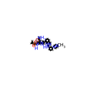 CN1CCN(c2cccc(Nc3ncc4cccc(-c5cnn(C6(CC(N)=O)CN(NS(=O)(=O)C7CC7)C6)c5)c4n3)c2)CC1